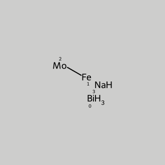 [BiH3].[Fe][Mo].[NaH]